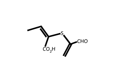 C=C(C=O)S/C(=C/C)C(=O)O